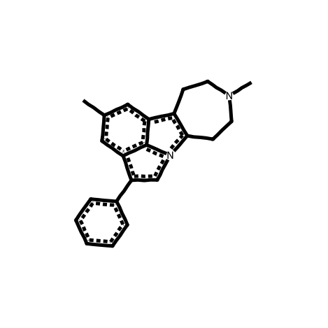 Cc1cc2c(-c3ccccc3)cn3c4c(c(c1)c23)CCN(C)CC4